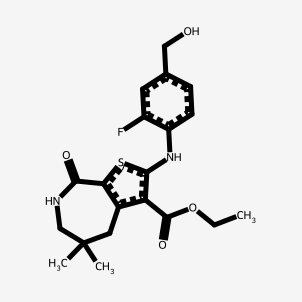 CCOC(=O)c1c(Nc2ccc(CO)cc2F)sc2c1CC(C)(C)CNC2=O